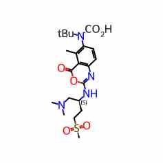 Cc1c(N(C(=O)O)C(C)(C)C)ccc2nc(N[C@@H](CCS(C)(=O)=O)CN(C)C)oc(=O)c12